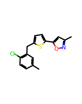 Cc1ccc(Cl)c(Cc2ccc(-c3cc(C)no3)s2)c1